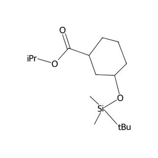 CC(C)OC(=O)C1CCCC(O[Si](C)(C)C(C)(C)C)C1